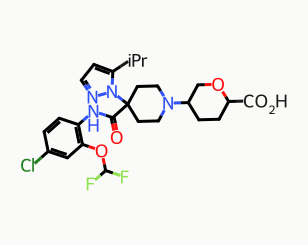 CC(C)c1ccnn1C1(C(=O)Nc2ccc(Cl)cc2OC(F)F)CCN(C2CCC(C(=O)O)OC2)CC1